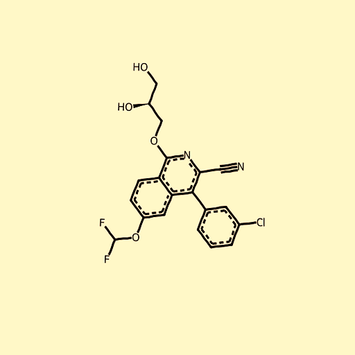 N#Cc1nc(OC[C@@H](O)CO)c2ccc(OC(F)F)cc2c1-c1cccc(Cl)c1